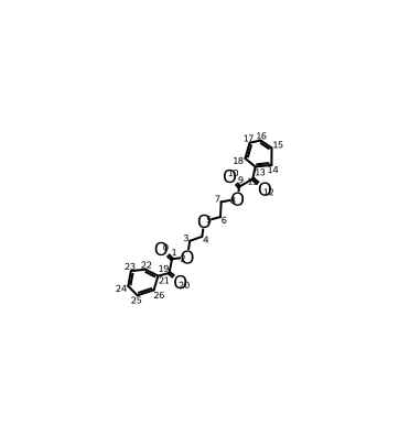 O=C(OCCOCCOC(=O)C(=O)c1ccccc1)C(=O)c1ccccc1